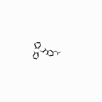 CCOC(Cc1ccc2oc(N3c4ccccc4Sc4ccccc43)c(C)c2c1)C(=O)O